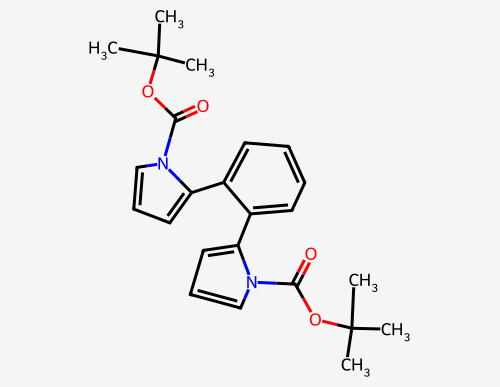 CC(C)(C)OC(=O)n1cccc1-c1ccccc1-c1cccn1C(=O)OC(C)(C)C